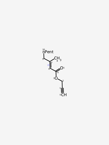 C#CCOC(=O)/C=C(\C)CCCCCC